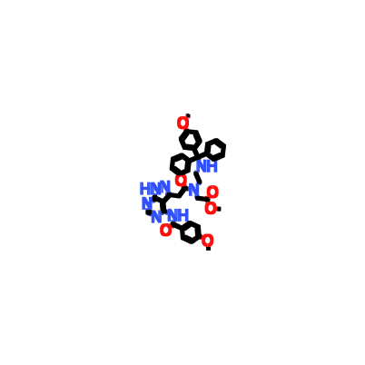 COC(=O)CN(CCNC(c1ccccc1)(c1ccccc1)c1ccc(OC)cc1)C(=O)Cc1n[nH]c2ncnc(NC(=O)c3ccc(OC)cc3)c12